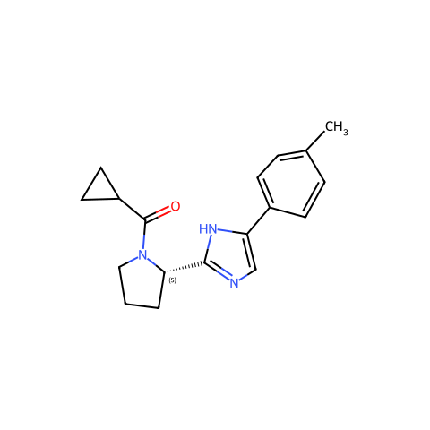 Cc1ccc(-c2cnc([C@@H]3CCCN3C(=O)C3CC3)[nH]2)cc1